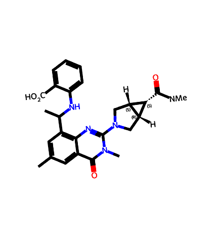 CNC(=O)[C@@H]1[C@@H]2CN(c3nc4c(C(C)Nc5ccccc5C(=O)O)cc(C)cc4c(=O)n3C)C[C@@H]21